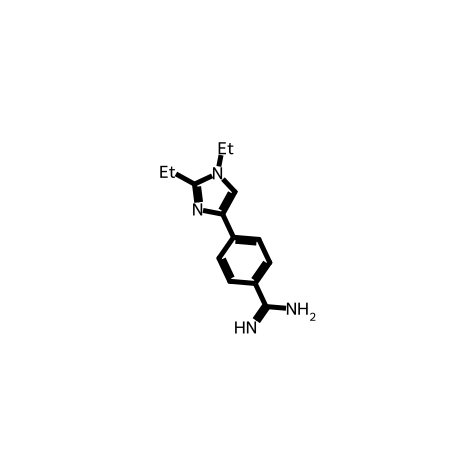 CCc1nc(-c2ccc(C(=N)N)cc2)cn1CC